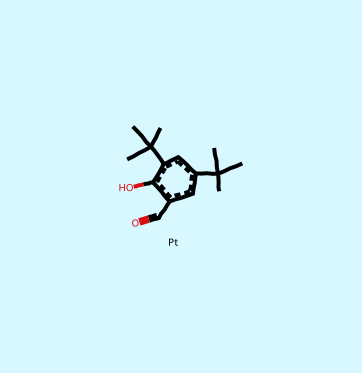 CC(C)(C)c1cc(C=O)c(O)c(C(C)(C)C)c1.[Pt]